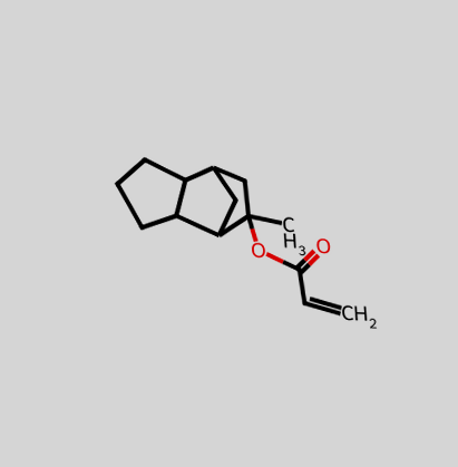 C=CC(=O)OC1(C)CC2CC1C1CCCC21